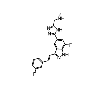 CNCc1nnc(-c2cc(F)c3[nH]nc(/C=C/c4cccc(F)c4)c3c2)[nH]1